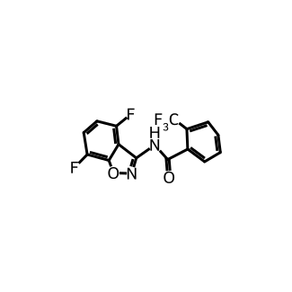 O=C(Nc1noc2c(F)ccc(F)c12)c1ccccc1C(F)(F)F